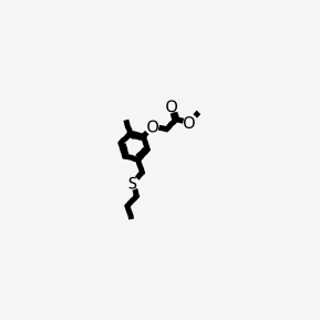 CCCSCc1ccc(C)c(OCC(=O)OC)c1